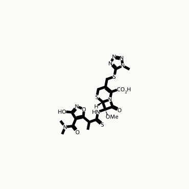 CO[C@@]1(NC(=S)C(C)c2onc(O)c2C(=O)N(C)C)C(=O)N2C(C(=O)O)=C(CSc3nnnn3C)CS[C@H]21